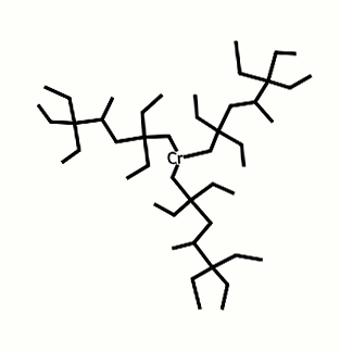 CCC(CC)(CC(C)C(CC)(CC)CC)[CH2][Cr]([CH2]C(CC)(CC)CC(C)C(CC)(CC)CC)[CH2]C(CC)(CC)CC(C)C(CC)(CC)CC